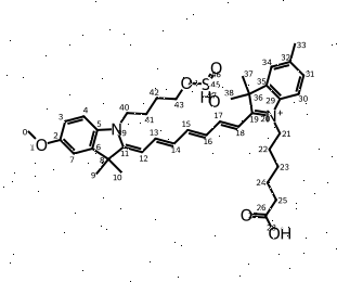 COc1ccc2c(c1)C(C)(C)C(=CC=CC=CC=CC1=[N+](CCCCCC(=O)O)c3ccc(C)cc3C1(C)C)N2CCCCO[SH](=O)=O